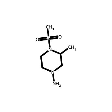 CC1CN(N)CCN1S(C)(=O)=O